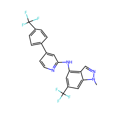 Cn1ncc2c(Nc3cc(-c4ccc(C(F)(F)F)cc4)ccn3)cc(C(F)(F)F)cc21